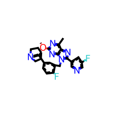 COc1nc(C)c2nc(-c3cncc(F)c3)n(Cc3cc(C4=CN5CCC4CC5)ccc3F)c2n1